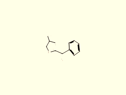 CC1CN[C@@H]([C@@H](O)c2ccccc2)C1